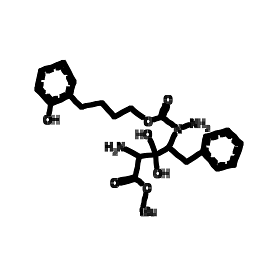 CC(C)(C)OC(=O)C(N)C(O)(O)C(Cc1ccccc1)N(N)C(=O)OCCCCc1ccccc1O